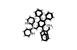 PCC1C2CC3CC(C2)CC1(c1cc(-c2ccccc2)c(-c2ccccc2)cc1CP(C1CCCCN1)C1CCCCN1)C3